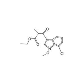 CCOC(=O)C(C)C(=O)c1cn(OC)c2c(Cl)cccc12